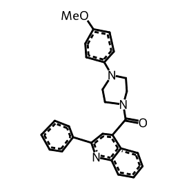 COc1ccc(N2CCN(C(=O)c3cc(-c4ccccc4)nc4ccccc34)CC2)cc1